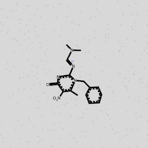 Cc1c([N+](=O)[O-])c(=O)nc(/N=C/N(C)C)n1Cc1ccccc1